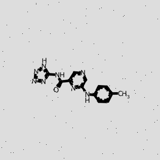 Cc1ccc(Nc2cncc(C(=O)Nc3nnn[nH]3)n2)cc1